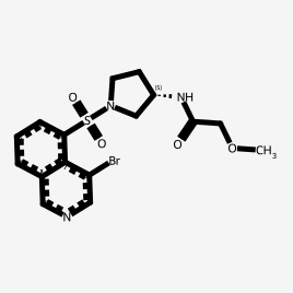 COCC(=O)N[C@H]1CCN(S(=O)(=O)c2cccc3cncc(Br)c23)C1